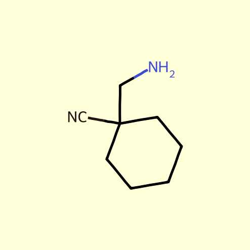 N#CC1(CN)CCCCC1